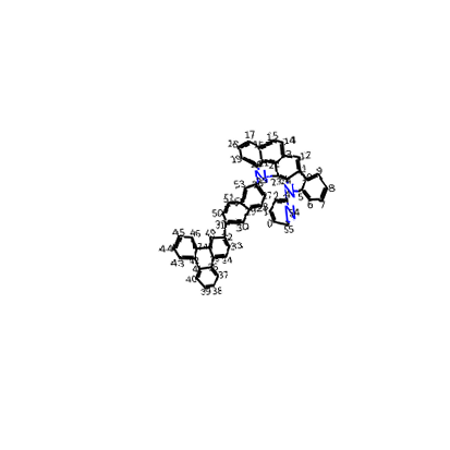 c1ccc(-n2c3ccccc3c3cc4ccc5cccc6c5c4c(c32)n6-c2ccc3cc(-c4ccc5c6ccccc6c6ccccc6c5c4)ccc3c2)nc1